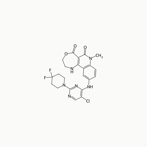 Cn1c(=O)c2c(c3cc(Nc4nc(N5CCC(F)(F)CC5)ncc4Cl)ccc31)NCCOC2=O